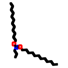 CCCCCCCCCCCCON(CCC)OCCCCCCCCCCCC